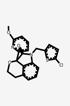 COc1cccc(C23OCCc4cccc(c42)N(Cc2ccc(Cl)s2)C3=O)n1